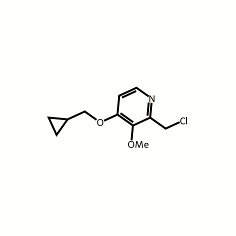 COc1c(OCC2CC2)ccnc1CCl